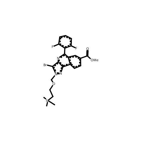 COC(=O)c1ccc2c(c1)c(-c1c(F)cccc1F)nc1c(Br)n(COCC[Si](C)(C)C)nc12